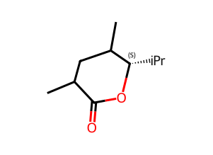 CC1CC(C)[C@H](C(C)C)OC1=O